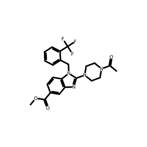 COC(=O)c1ccc2c(c1)nc(N1CCN(C(C)=O)CC1)n2Cc1ccccc1C(F)(F)F